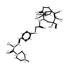 C=C[C@]1(S)C[C@@H](OC(=O)CSc2ccc(/C=N/N(S)C(=N)N3CCN(C)CC3)cc2)[C@]2(S)C(S)CC34CC(CCC3=O)(/C(I)=C\1O)C42